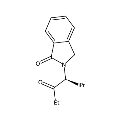 CCC(=O)[C@H](C(C)C)N1Cc2ccccc2C1=O